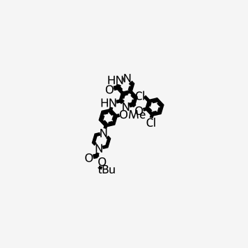 COc1cc(N2CCN(C(=O)OC(C)(C)C)CC2)ccc1Nc1nc(Oc2c(Cl)cccc2Cl)cc2cn[nH]c(=O)c12